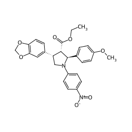 CCOC(=O)[C@H]1[C@@H](c2ccc3c(c2)OCO3)CN(c2ccc([N+](=O)[O-])cc2)[C@@H]1c1ccc(OC)cc1